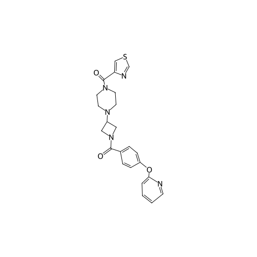 O=C(c1ccc(Oc2ccccn2)cc1)N1CC(N2CCN(C(=O)c3cscn3)CC2)C1